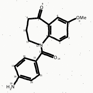 COc1ccc2c(c1)C(=O)CCCN2C(=O)c1ccc(N)cc1